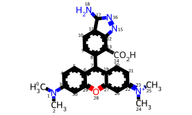 CN(C)c1ccc2c(-c3ccc4c(c3C(=O)O)N=NC4N)c3ccc(=[N+](C)C)cc-3oc2c1